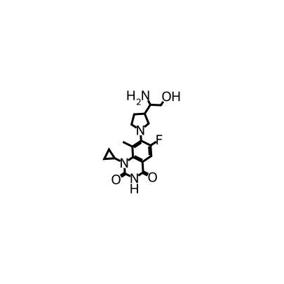 Cc1c(N2CCC(C(N)CO)C2)c(F)cc2c(=O)[nH]c(=O)n(C3CC3)c12